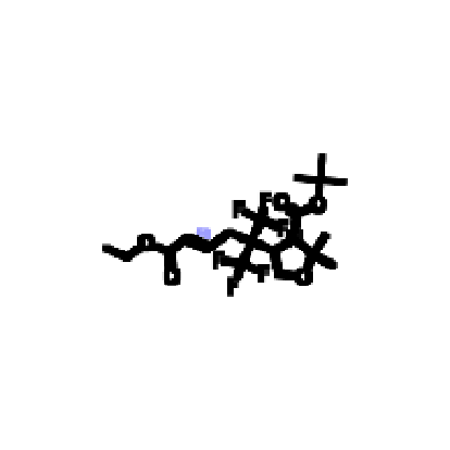 CCOC(=O)/C=C/CC(C1COC(C)(C)N1C(=O)OC(C)(C)C)(C(F)(F)F)C(F)(F)F